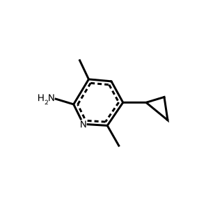 Cc1cc(C2CC2)c(C)nc1N